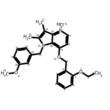 CCOc1ccccc1COc1ccnc2c(C)c(C)n(Cc3cccc(OC)c3)c12.Cl